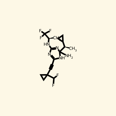 C[C@H](C1CC1)C1(N)N=C(N[C@H](C)C(F)(F)F)N=C(C#CC2(C(F)F)CC2)N1